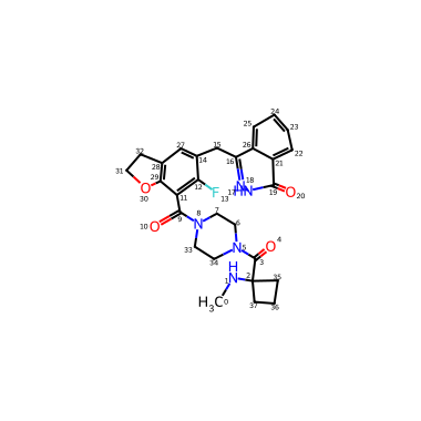 CNC1(C(=O)N2CCN(C(=O)c3c(F)c(Cc4n[nH]c(=O)c5ccccc45)cc4c3OCC4)CC2)CCC1